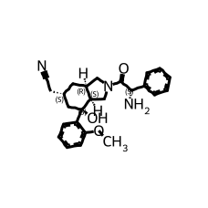 COc1ccccc1[C@]1(O)C[C@H](CC#N)C[C@H]2CN(C(=O)[C@@H](N)c3ccccc3)C[C@H]21